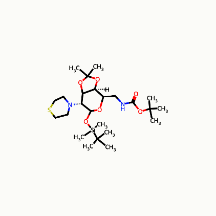 CC(C)(C)OC(=O)NC[C@H]1OC(O[Si](C)(C)C(C)(C)C)[C@H](N2CCSCC2)C2OC(C)(C)O[C@H]21